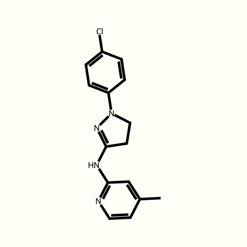 Cc1ccnc(NC2=NN(c3ccc(Cl)cc3)CC2)c1